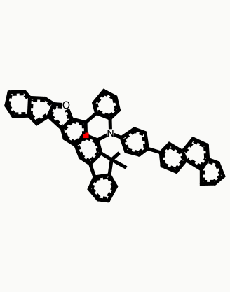 CC1(C)c2ccccc2-c2cccc(N(c3ccc(-c4ccc5c(ccc6ccccc65)c4)cc3)c3ccccc3-c3cccc4c3oc3cc5ccccc5cc34)c21